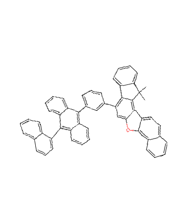 CC1(C)c2ccccc2-c2c(-c3cccc(-c4c5ccccc5c(-c5cccc6ccccc56)c5ccccc45)c3)cc3oc4c5ccccc5ccc4c3c21